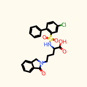 O=C(O)C(CCCN1Cc2ccccc2C1=O)NS(=O)(=O)c1cc(Cl)ccc1-c1ccccc1